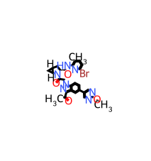 COc1ncc(-c2ccc3c(c2)c(C(C)=O)nn3CC(=O)N2[C@@H]3C[C@@H]3C[C@H]2C(=O)Nc2nc(Br)ccc2C)cn1